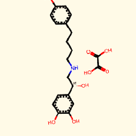 O=C(O)C(=O)O.Oc1ccc(CCCCNC[C@H](O)c2ccc(O)c(O)c2)cc1